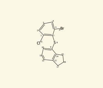 Clc1cccc(Br)c1Sc1cccc2c1CCC2